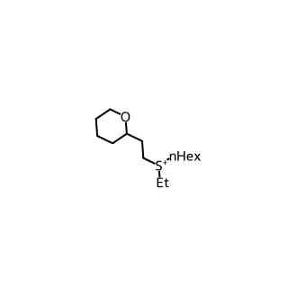 [CH2]C[S+](CCCCCC)CCC1CCCCO1